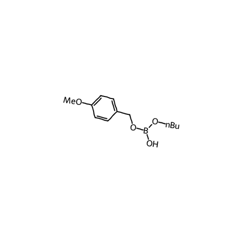 CCCCOB(O)OCc1ccc(OC)cc1